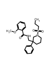 CCCS(=O)(=O)N1CCCC(CNC(=O)c2ccccc2OC)(c2ccccc2)C1